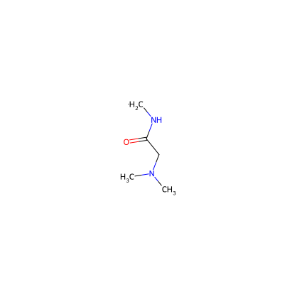 [CH2]NC(=O)CN(C)C